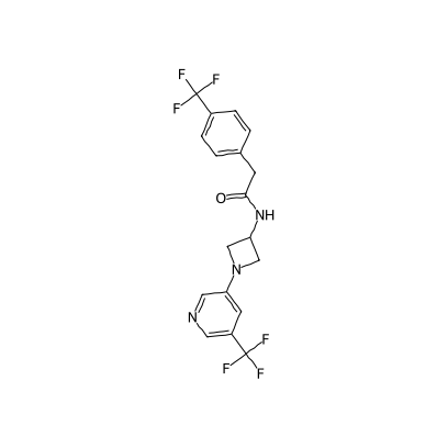 O=C(Cc1ccc(C(F)(F)F)cc1)NC1CN(c2cncc(C(F)(F)F)c2)C1